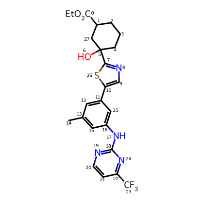 CCOC(=O)C1CCCC(O)(c2ncc(-c3cc(C)cc(Nc4nccc(C(F)(F)F)n4)c3)s2)C1